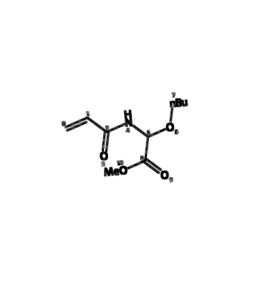 C=CC(=O)NC(OCCCC)C(=O)OC